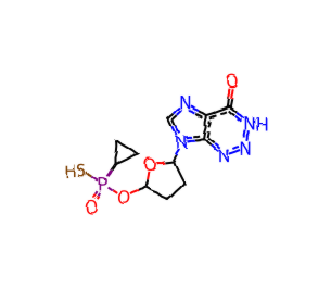 O=c1[nH]nnc2c1ncn2C1CCC(OP(=O)(S)C2CC2)O1